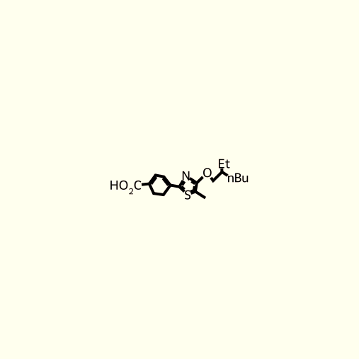 CCCCC(CC)COc1nc(C2=CC=C(C(=O)O)CC2)sc1C